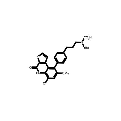 COc1cc(Cl)c2[nH]c(=O)c3sccc3c2c1-c1ccc(CCCN(C(=O)O)C(C)(C)C)cc1